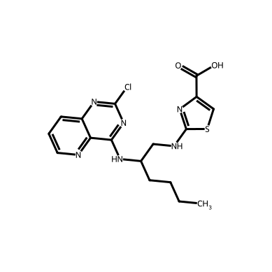 CCCCC(CNc1nc(C(=O)O)cs1)Nc1nc(Cl)nc2cccnc12